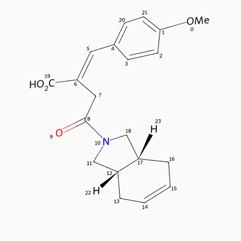 COc1ccc(/C=C(\CC(=O)N2C[C@H]3CC=CC[C@H]3C2)C(=O)O)cc1